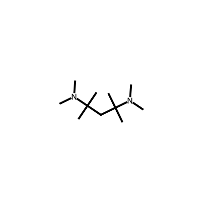 CN(C)C(C)(C)CC(C)(C)N(C)C